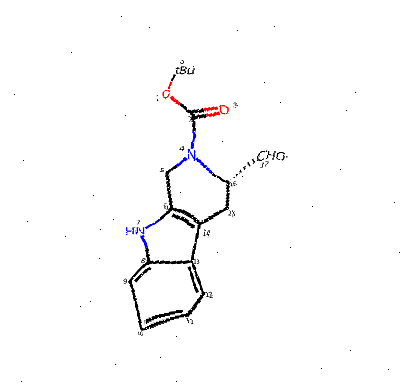 CC(C)(C)OC(=O)N1Cc2[nH]c3ccccc3c2C[C@H]1[C]=O